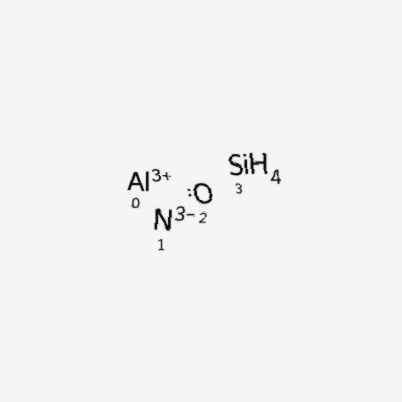 [Al+3].[N-3].[O].[SiH4]